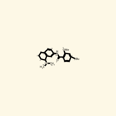 COc1cc(C(C)(C)C)ccc1C(=O)Nc1ccc2c(c1)C(N(C)C)CCC2